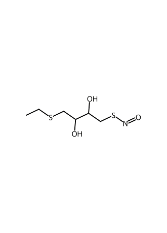 CCSCC(O)C(O)CSN=O